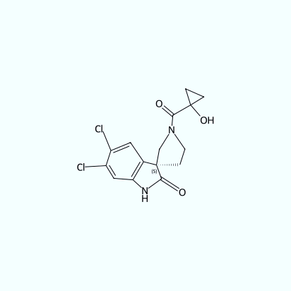 O=C(N1CC[C@]2(C1)C(=O)Nc1cc(Cl)c(Cl)cc12)C1(O)CC1